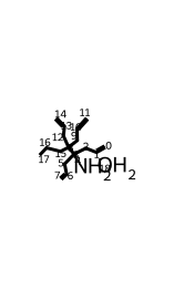 C=CCC(N)(CC=C)C(CC=C)(CC=C)CCC.O